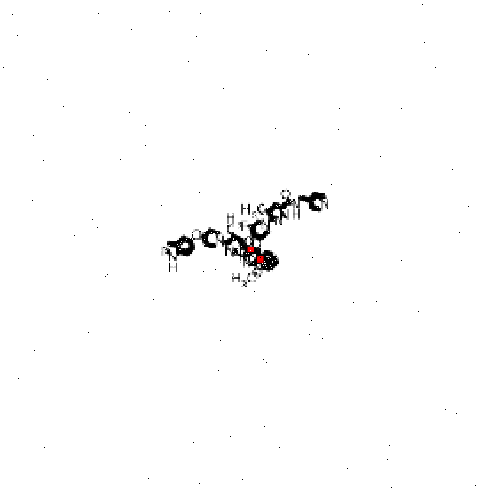 COc1ncc(O[C@@H]2CCN(c3nnc(C(=O)NCc4ccncc4)cc3C)C[C@@H]2F)cc1C1C2CC(NC(=O)c3cc(C)c(N4CCC(Oc5ccc6[nH]ncc6c5)CC4)nn3)CC1C2